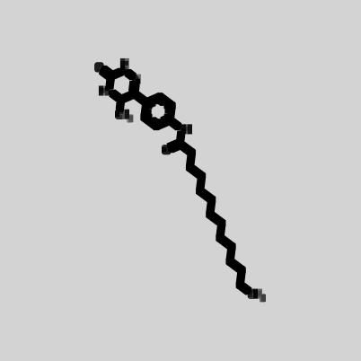 CCCCCCCCCCCCCC(=O)Nc1ccc(C2=NNC(=O)NC2C)cc1